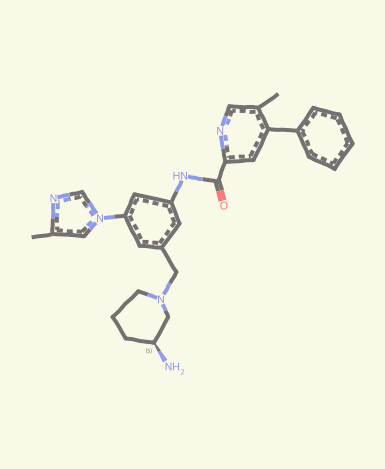 Cc1cn(-c2cc(CN3CCC[C@H](N)C3)cc(NC(=O)c3cc(-c4ccccc4)c(C)cn3)c2)cn1